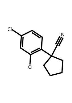 N#CC1(c2ccc(Cl)cc2Cl)CCCC1